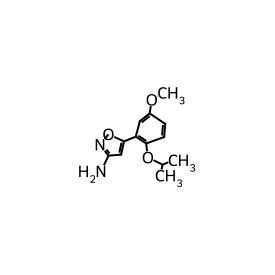 COc1ccc(OC(C)C)c(-c2cc(N)no2)c1